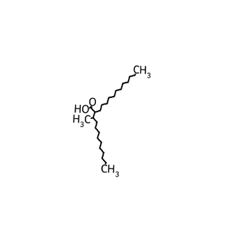 CCCCCCCCCCCCC(C(=O)O)C(C)CCCCCCCCCC